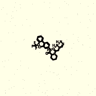 N/N=C\N(N)CC(=O)N1CCCCC1C(=O)Nc1ccc(-c2ccccc2OC(F)(F)F)c(Cl)c1